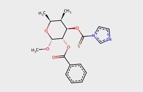 CO[C@@H]1O[C@@H](C)[C@@H](C)[C@@H](OC(=S)n2ccnc2)[C@@H]1OC(=O)c1ccccc1